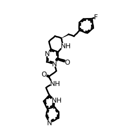 O=C(Cn1cnc2c(c1=O)N[C@H](CCc1ccc(F)cc1)CC2)NCc1cc2cnccc2[nH]1